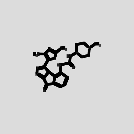 Cc1nc(C)c(C2=NN=C3C(=O)c4cccc(NC(=O)NN5CCN(C)CC5)c4C32)s1